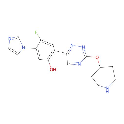 Oc1cc(-n2ccnc2)c(F)cc1-c1cnc(OC2CCNCC2)nn1